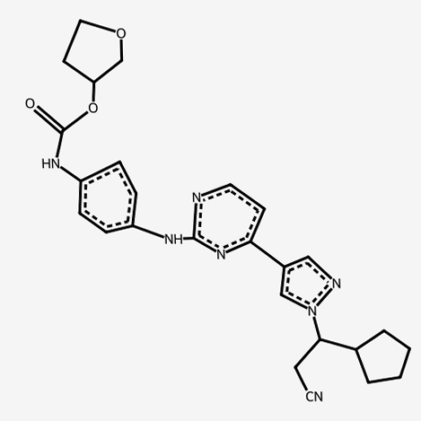 N#CCC(C1CCCC1)n1cc(-c2ccnc(Nc3ccc(NC(=O)OC4CCOC4)cc3)n2)cn1